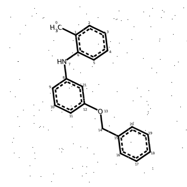 Cc1ccccc1Nc1cccc(OCc2ccccc2)c1